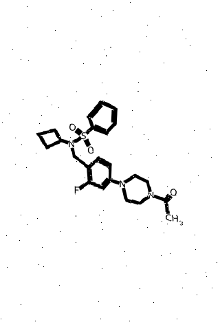 CC(=O)N1CCN(c2ccc(CN(C3CCC3)S(=O)(=O)c3ccccc3)c(F)c2)CC1